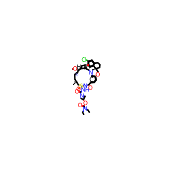 CCN(CC)C(=O)OC1CN(C(=O)NS2(=O)=NC(=O)c3ccc4c(c3)N(C[C@@H]3CC[C@H]3[C@@H](OC)/C=C/C[C@H](C)C2)C[C@@]2(CCCc3cc(Cl)ccc32)CO4)C1